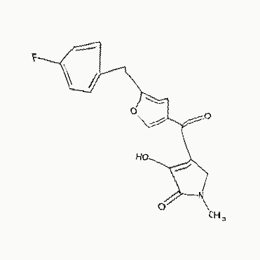 CN1CC(C(=O)c2coc(Cc3ccc(F)cc3)c2)=C(O)C1=O